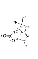 CC1C2CC3C1OC(=O)C3C2C(F)(F)F